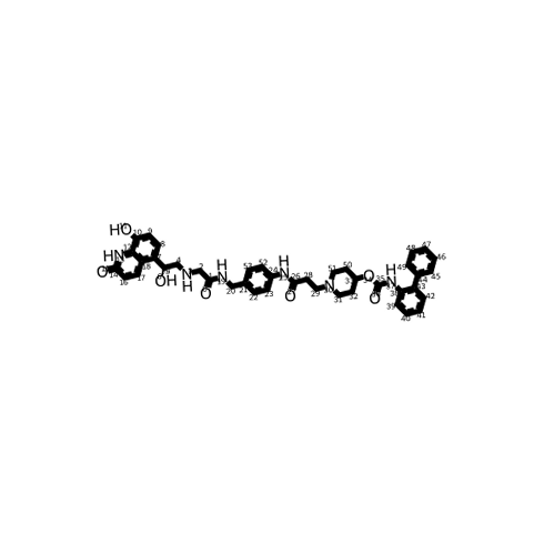 O=C(CNC[C@H](O)c1ccc(O)c2[nH]c(=O)ccc12)NCc1ccc(NC(=O)CCN2CCC(OC(=O)Nc3ccccc3-c3ccccc3)CC2)cc1